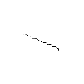 C#CCCCCCCCCCCCCCCF